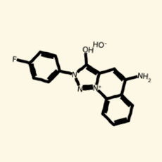 Nc1cc2c(O)n(-c3ccc(F)cc3)n[n+]2c2ccccc12.[OH-]